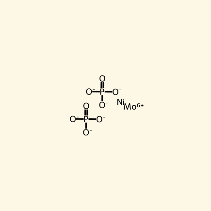 O=P([O-])([O-])[O-].O=P([O-])([O-])[O-].[Mo+6].[Ni]